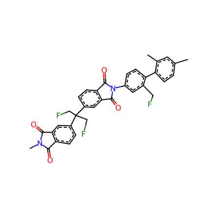 Cc1ccc(-c2ccc(N3C(=O)c4ccc(C(CF)(CF)c5ccc6c(c5)C(=O)N(C)C6=O)cc4C3=O)cc2CF)c(C)c1